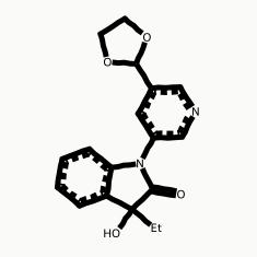 CCC1(O)C(=O)N(c2cncc(C3OCCO3)c2)c2ccccc21